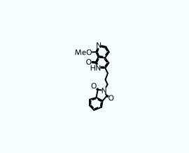 COc1nccc2cc(CCCN3C(=O)c4ccccc4C3=O)[nH]c(=O)c12